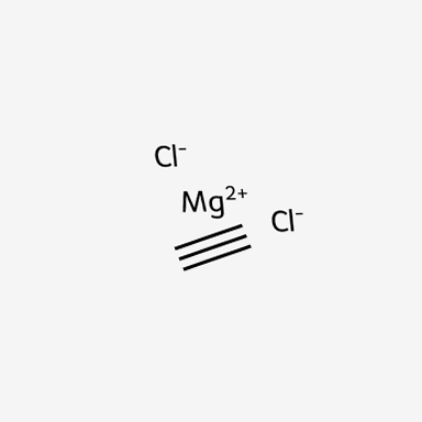 C#C.[Cl-].[Cl-].[Mg+2]